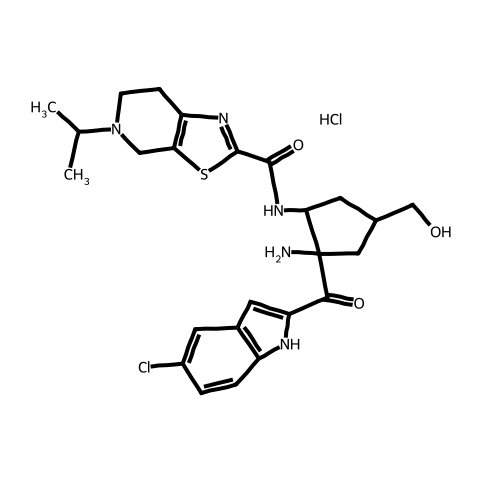 CC(C)N1CCc2nc(C(=O)NC3CC(CO)CC3(N)C(=O)c3cc4cc(Cl)ccc4[nH]3)sc2C1.Cl